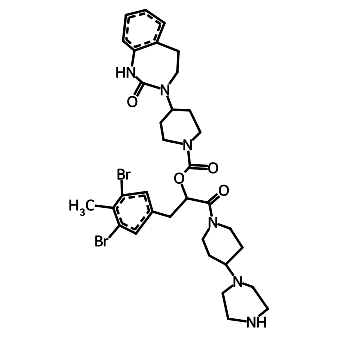 Cc1c(Br)cc(CC(OC(=O)N2CCC(N3CCc4ccccc4NC3=O)CC2)C(=O)N2CCC(N3CCNCC3)CC2)cc1Br